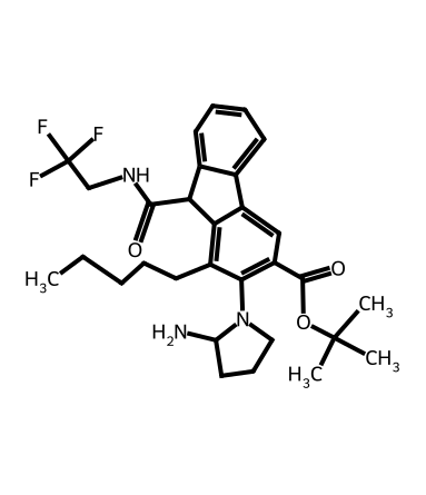 CCCCCc1c2c(cc(C(=O)OC(C)(C)C)c1N1CCCC1N)-c1ccccc1C2C(=O)NCC(F)(F)F